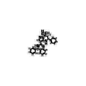 CC1(C)CC(c2ccccc2)Nc2c(C(=O)NC(c3ccccc3)c3ccccc3)cnn21